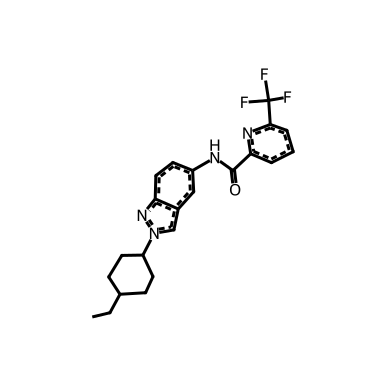 CCC1CCC(n2cc3cc(NC(=O)c4cccc(C(F)(F)F)n4)ccc3n2)CC1